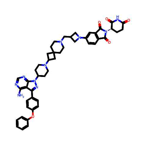 Nc1ncnc2c1c(-c1ccc(Oc3ccccc3)cc1)nn2C1CCN(C2CC3(CCN(CC4CN(c5ccc6c(c5)C(=O)N([C@H]5CCC(=O)NC5=O)C6=O)C4)CC3)C2)CC1